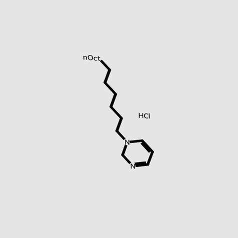 CCCCCCCCCCCCCCN1C=CC=NC1.Cl